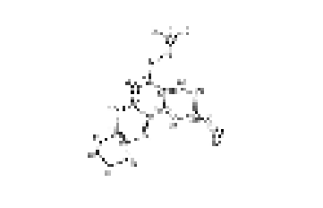 CN(C)CCC(Oc1ccc2c(c1)CCCC2)c1ccc(C#N)cc1